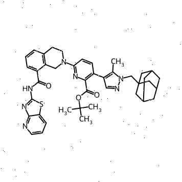 Cc1c(-c2ccc(N3CCc4cccc(C(=O)Nc5nc6ncccc6s5)c4C3)nc2C(=O)OC(C)(C)C)cnn1CC12CC3CC(CC(C3)C1)C2